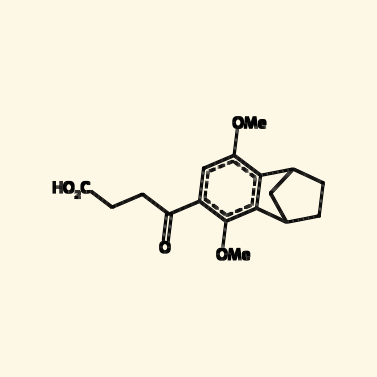 COc1cc(C(=O)CCC(=O)O)c(OC)c2c1C1CCC2C1